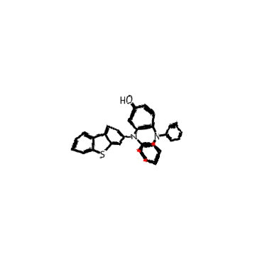 Oc1ccc(N(c2ccccc2)c2ccccc2)c(N(c2ccccc2)c2ccc3c(c2)sc2ccccc23)c1